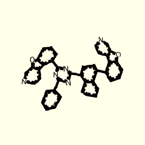 c1ccc(-c2nc(-c3ccc(-c4cccc5oc6cnccc6c45)c4ccccc34)nc(-c3cccc4oc5cnccc5c34)n2)cc1